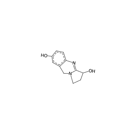 Oc1ccc2c(c1)CN1CCC(O)C1=N2